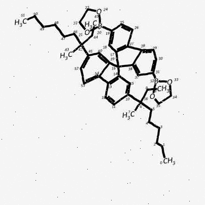 CCCCCCC(C)(CC)c1ccc2c(c1)C1(c3cc(B4OCCO4)ccc3-c3ccc(B4OCCO4)cc31)c1cc(C(C)(CC)CCCCCC)ccc1-2